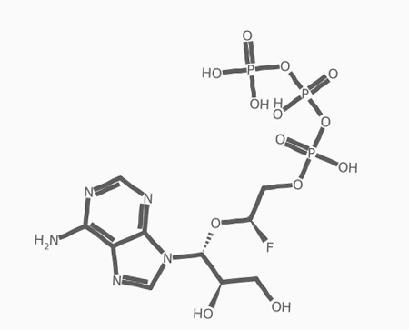 Nc1ncnc2c1ncn2[C@H](O[C@H](F)COP(=O)(O)OP(=O)(O)OP(=O)(O)O)[C@H](O)CO